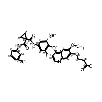 COc1cc2c(Oc3ccc(NC(=O)C4(C(=O)Nc5cccc(Cl)c5)CC4)cc3F)ccnc2cc1OCCC(=O)[O-].[Na+]